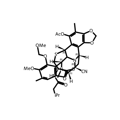 COCOc1c(OC)c(C)cc2c1[C@@H]1C3[C@@H]4SC[C@H](NC(=O)CC(C)C)C(=O)OC[C@@H](c5c6c(c(C)c(OC(C)=O)c54)OCO6)N3[C@@H](C#N)[C@H](C2)N1C